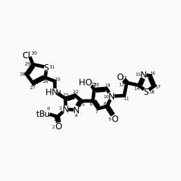 CC(C)(C)C(=O)n1nc(-c2cc(=O)n(CC(=O)c3nccs3)cc2O)cc1NCc1ccc(Cl)s1